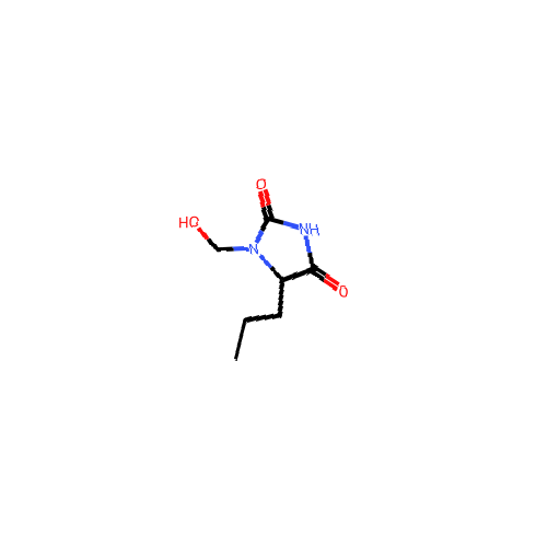 CCCC1C(=O)NC(=O)N1CO